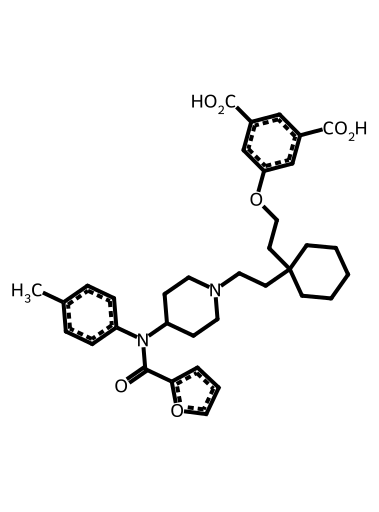 Cc1ccc(N(C(=O)c2ccco2)C2CCN(CCC3(CCOc4cc(C(=O)O)cc(C(=O)O)c4)CCCCC3)CC2)cc1